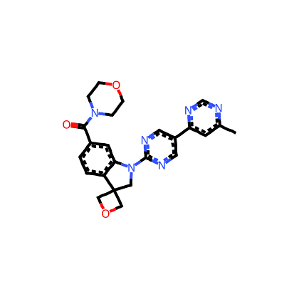 Cc1cc(-c2cnc(N3CC4(COC4)c4ccc(C(=O)N5CCOCC5)cc43)nc2)ncn1